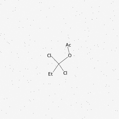 CCC(Cl)(Cl)OC(C)=O